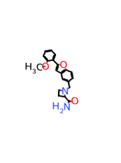 COc1ccccc1-c1cc2cc(CN3CCC3C(N)=O)ccc2o1